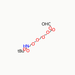 CC(C)(C)OC(=O)NCCOCCOCCOCCOCC(=O)OCC=O